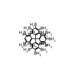 Bc1cc(B)c(B)c(C(c2c(B)c(B)c(B)c(B)c2B)(c2c(B)c(B)c(B)c(B)c2B)c2c(B)c(B)c(B)c(B)c2B)c1B